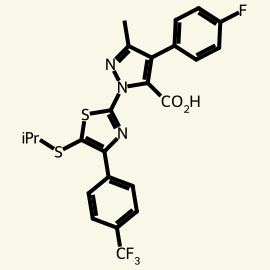 Cc1nn(-c2nc(-c3ccc(C(F)(F)F)cc3)c(SC(C)C)s2)c(C(=O)O)c1-c1ccc(F)cc1